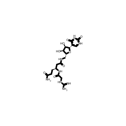 N=C(N)NCC(=O)N[C@@H](CCC(N)=O)CC(=O)NC[C@H]1O[C@@H](c2c[nH]c(=O)[nH]c2=O)[C@H](O)[C@@H]1O